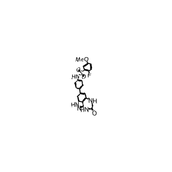 COc1ccc(F)c(S(=O)(=O)Nc2ccc(-c3cc4c5c(n[nH]c5c3)NC(=O)CN4)cc2)c1